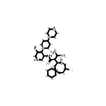 NC(N)C(C(=O)NC1CNCC(F)C1N1CCC(N2CCOCC2)CC1)C1CC2(CCCCC2)CCC(F)CN1